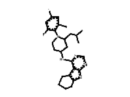 CC(C)CC1CC(Nc2ncnc3sc4c(c23)CCCC4)CCN1c1c(F)cc(F)cc1F